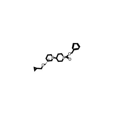 O=C(OCc1ccccc1)N1CCC(N2CCC[C@@H](COCC3CC3)C2)CC1